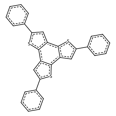 c1ccc(-c2cc3c(s2)c2cc(-c4ccccc4)sc2c2cc(-c4ccccc4)sc32)cc1